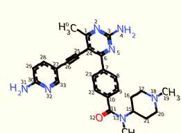 Cc1nc(N)nc(-c2ccc(C(=O)N(C)C3CCN(C)CC3)cc2)c1C#Cc1ccc(N)nc1